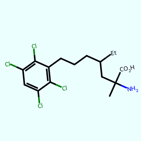 CCC(CCCc1c(Cl)c(Cl)cc(Cl)c1Cl)CC(C)(N)C(=O)O